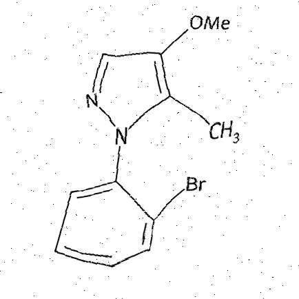 COc1cnn(-c2ccccc2Br)c1C